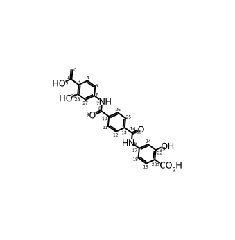 C=C(O)c1ccc(NC(=O)c2ccc(C(=O)Nc3ccc(C(=O)O)c(O)c3)cc2)cc1O